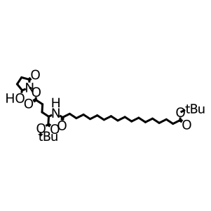 CC(C)(C)OC(=O)CCCCCCCCCCCCCCCCC(=O)NC(CCC(=O)ON1C(=O)CCC1O)C(=O)OC(C)(C)C